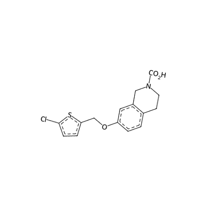 O=C(O)N1CCc2ccc(OCc3ccc(Cl)s3)cc2C1